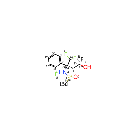 CC(C)(C)[S@+]([O-])N[C@@](C[C@H](O)C(F)(F)F)(c1ccccc1F)C(F)F